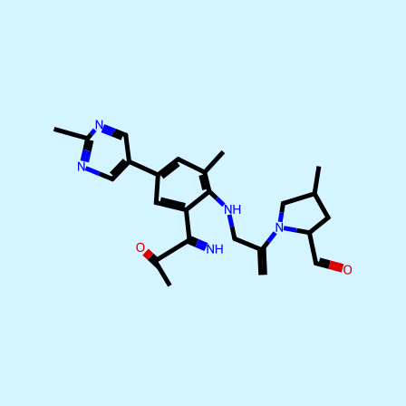 C=C(CNc1c(C)cc(-c2cnc(C)nc2)cc1C(=N)C(C)=O)N1CC(C)CC1C=O